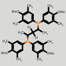 CCC(CC)(C(C)P(c1cc(C)c(OC)c(C)c1)c1cc(C)c(OC)c(C)c1)C(C)P(c1cc(C)c(OC)c(C)c1)c1cc(C)c(OC)c(C)c1